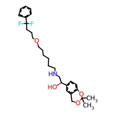 CC1(C)OCc2cc([C@@H](O)CNCCCCCCOCCCC(F)(F)c3ccccc3)ccc2O1